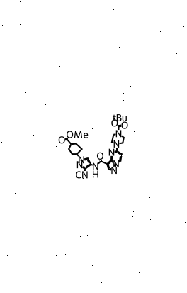 COC(=O)C1CCC(n2cc(NC(=O)c3cnn4ccc(N5CCN(C(=O)OC(C)(C)C)CC5)nc34)c(C#N)n2)CC1